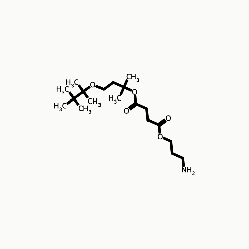 CC(C)(CCOC(C)(C)C(C)(C)C)OC(=O)CCC(=O)OCCCN